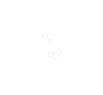 O=C(c1cccc(COc2ccc(-c3ccccc3C3CCCCC3)c(F)c2)c1)N(CCO)c1cccc(Cl)c1